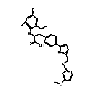 CCc1cc(F)cc(C)c1NC(Cc1ccc(-c2ccc(CNc3cc(OC)ccn3)[nH]2)cc1)C(=O)O